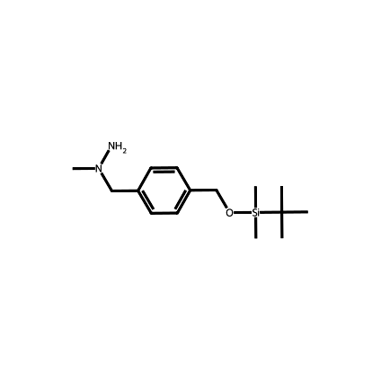 CN(N)Cc1ccc(CO[Si](C)(C)C(C)(C)C)cc1